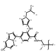 CC(C)(F)[C@H](F)CNC(=O)c1cnc(-c2cnc3cc(Cl)cnn23)cc1Nc1cnn(CC(F)F)c1